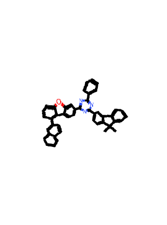 CC1(C)c2ccccc2-c2cc(-c3nc(-c4ccccc4)nc(-c4ccc5c(c4)oc4cccc(-c6ccc7ccccc7c6)c45)n3)ccc21